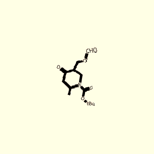 CC1CC(=O)C(COC=O)CN1C(=O)OC(C)(C)C